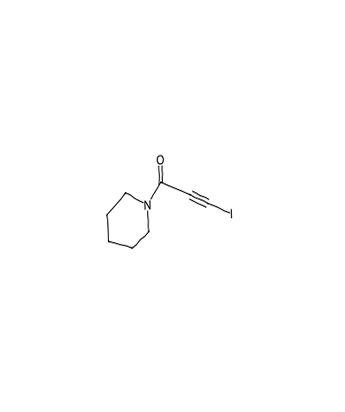 O=C(C#CI)N1CCCCC1